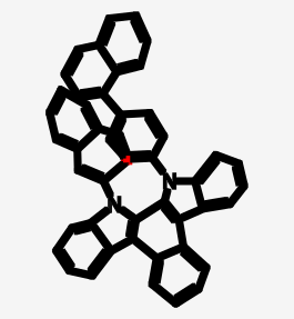 c1ccc2cc(-n3c4ccccc4c4c5ccccc5c5c6ccccc6n(-c6ccc(-c7cccc8ccccc78)cc6)c5c43)ccc2c1